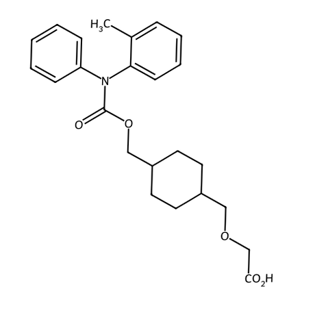 Cc1ccccc1N(C(=O)OCC1CCC(COCC(=O)O)CC1)c1ccccc1